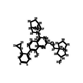 Fc1c(-c2ccccc2C2CC2)ncc2c(N3CC4CCC(C3)N4)nc(OCC34CCCN3C[C@H](F)C4)nc12